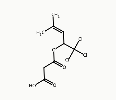 CC(C)=CC(OC(=O)CC(=O)O)C(Cl)(Cl)Cl